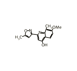 COc1ccc2c(O)cc(-c3cc(C)on3)nc2c1C